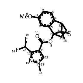 COc1ccc2c(c1)C1(OC(=O)c3cn(C)nc3C(F)F)CCC2C1(C)C